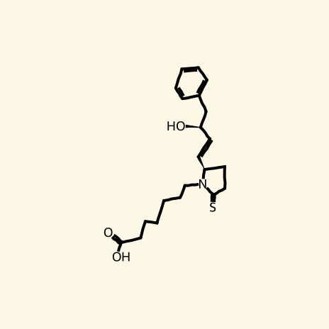 O=C(O)CCCCCCN1C(=S)CC[C@@H]1C=C[C@@H](O)Cc1ccccc1